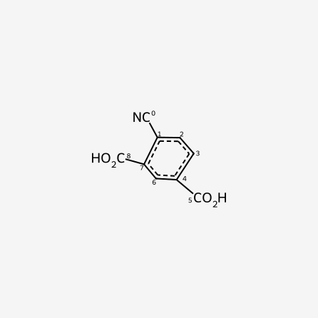 N#Cc1ccc(C(=O)O)cc1C(=O)O